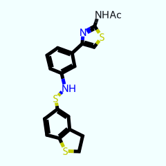 CC(=O)Nc1nc(-c2cccc(NSc3ccc4c(c3)CCS4)c2)cs1